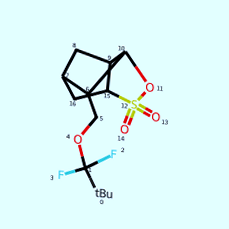 CC(C)(C)C(F)(F)OCC1C2CC3C1OS(=O)(=O)C3C2